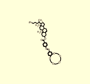 CC(C)CCCC(C)C1CCC2C3CC=C4CC(OC(=O)c5ccc(/N=N/c6ccc7c(c6)OCCOCCOCCOCCO7)cc5)CCC4(C)C3CCC12C